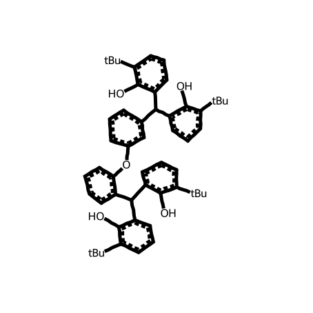 CC(C)(C)c1cccc(C(c2cccc(Oc3ccccc3C(c3cccc(C(C)(C)C)c3O)c3cccc(C(C)(C)C)c3O)c2)c2cccc(C(C)(C)C)c2O)c1O